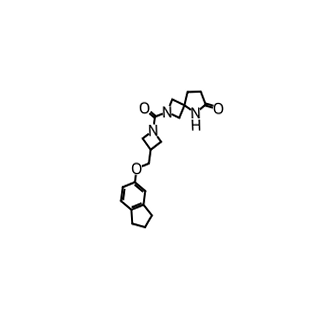 O=C1CCC2(CN(C(=O)N3CC(COc4ccc5c(c4)CCC5)C3)C2)N1